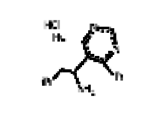 C[C](C)CC(N)c1cncnc1C(C)C.Cl.Cl